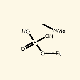 CCOP(=O)(O)O.CNC